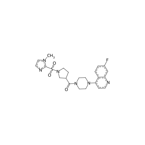 Cn1ccnc1S(=O)(=O)N1CCC(C(=O)N2CCN(c3ccnc4cc(F)ccc34)CC2)C1